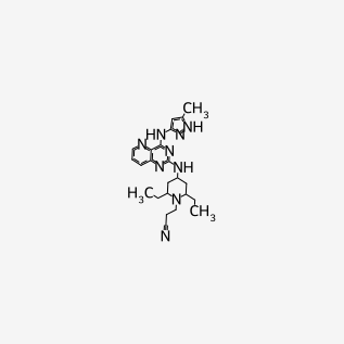 CCC1CC(Nc2nc(Nc3cc(C)[nH]n3)c3ncccc3n2)CC(CC)N1CCC#N